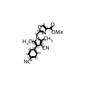 COC(=O)c1coc(Cn2c(C)c(C#N)c(-c3ccc(C#N)cc3)c2C)n1